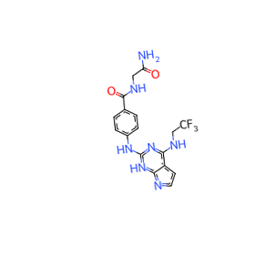 NC(=O)CNC(=O)c1ccc(Nc2nc(NCC(F)(F)F)c3ccnc-3[nH]2)cc1